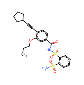 NS(=O)(=O)c1ccccc1S(=O)(=O)NC(=O)c1ccc(C#CC2CCCC2)c(OCCC(F)(F)F)c1